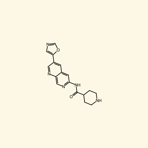 O=C(Nc1cc2cc(-c3cnco3)cnc2cn1)C1CCNCC1